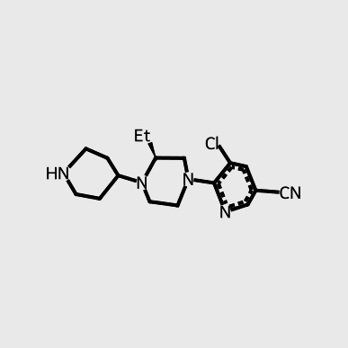 CC[C@H]1CN(c2ncc(C#N)cc2Cl)CCN1C1CCNCC1